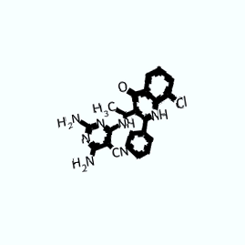 CC(Nc1nc(N)nc(N)c1C#N)c1c(-c2ccccc2)[nH]c2c(Cl)cccc2c1=O